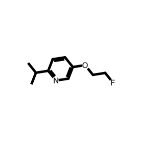 CC(C)c1ccc(OCCF)cn1